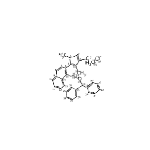 CC1=CC(C)C(c2ccc3ccccc3[c]2[Ti+2][O]C(c2ccccc2)c2ccccc2)=C1C.[Cl-].[Cl-]